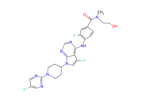 CN(CCO)C(=O)c1ccc(Nc2ncnc3c2c(F)cn3C2CCN(c3ncc(F)cn3)CC2)c(F)c1